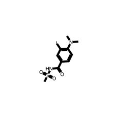 CN(C)c1ccc(C(=O)NS(C)(=O)=O)cc1I